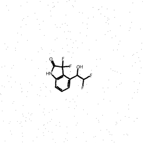 O=C1Nc2cccc(C(O)C(F)F)c2C1(F)F